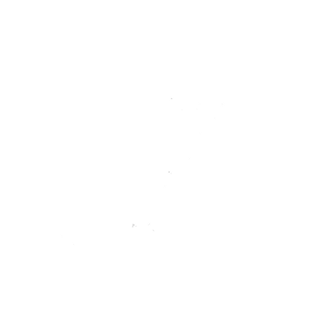 CC(=O)c1ccc(CNC(=O)c2ccc3c(c2)OCCN3Cc2ccc(-c3ccccc3C(=O)O)cc2)cc1